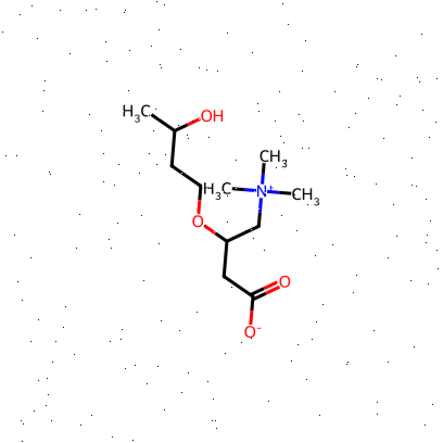 CC(O)CCOC(CC(=O)[O-])C[N+](C)(C)C